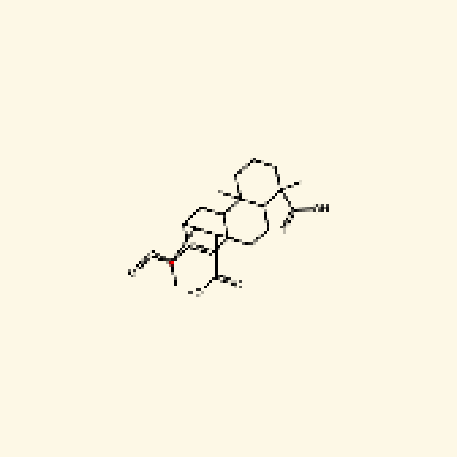 CC(C)C1=CC23CCC4C(C)(C(=O)O)CCCC4(C)C2CC1C(OC=O)C3C(=O)O